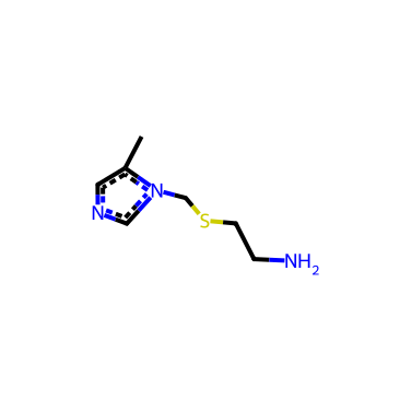 Cc1cncn1CSCCN